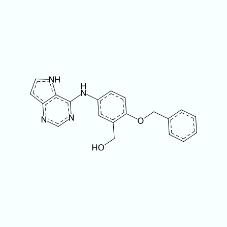 OCc1cc(Nc2ncnc3cc[nH]c23)ccc1OCc1ccccc1